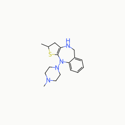 CC1CC2=C(S1)N(N1CCN(C)CC1)c1ccccc1CN2